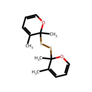 CC1=CC=COC1(C)SSC1(C)OC=CC=C1C